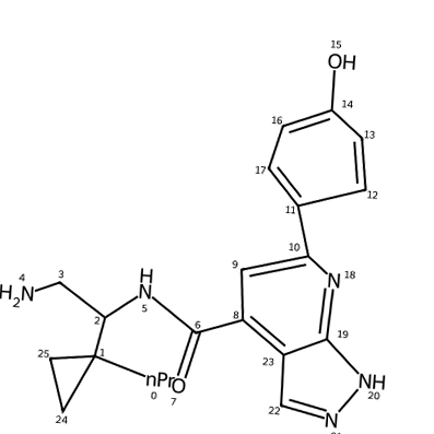 CCCC1(C(CN)NC(=O)c2cc(-c3ccc(O)cc3)nc3[nH]ncc23)CC1